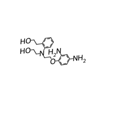 Nc1ccc(OCCN(CCO)c2ccccc2CCO)c(N)c1